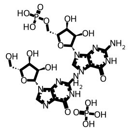 Nc1nc2c(ncn2[C@@H]2O[C@H](CO)[C@@H](O)[C@H]2O)c(=O)[nH]1.Nc1nc2c(ncn2[C@@H]2O[C@H](COP(=O)(O)O)[C@@H](O)[C@H]2O)c(=O)[nH]1.O=P(O)(O)O